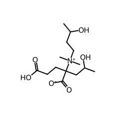 CC(O)CC[N+](C)(C)C(CCC(=O)O)(CC(C)O)C(=O)[O-]